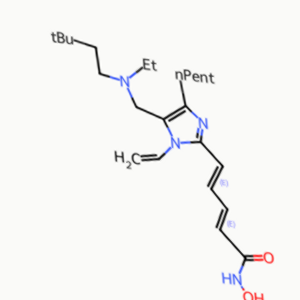 C=Cn1c(/C=C/C=C/C(=O)NO)nc(CCCCC)c1CN(CC)CCC(C)(C)C